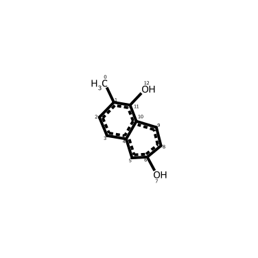 Cc1ccc2cc(O)ccc2c1O